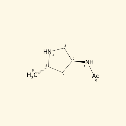 CC(=O)N[C@@H]1CN[C@@H](C)C1